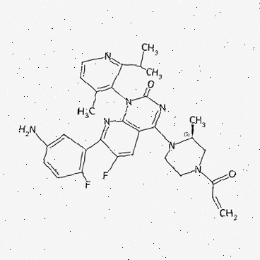 C=CC(=O)N1CCN(c2nc(=O)n(-c3c(C)ccnc3C(C)C)c3nc(-c4cc(N)ccc4F)c(F)cc23)[C@@H](C)C1